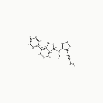 CC#CN1CCCC1C(=O)N1CCc2c(-c3ccncc3)cccc21